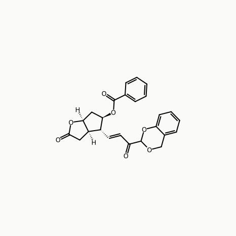 O=C1C[C@@H]2[C@@H](C=CC(=O)C3OCc4ccccc4O3)[C@H](OC(=O)c3ccccc3)C[C@@H]2O1